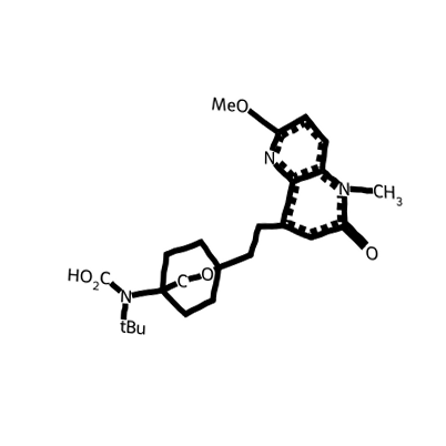 COc1ccc2c(n1)c(CCC13CCC(N(C(=O)O)C(C)(C)C)(CC1)CO3)cc(=O)n2C